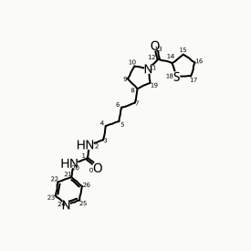 O=C(NCCCCCC1CCN(C(=O)C2CCCS2)C1)Nc1ccncc1